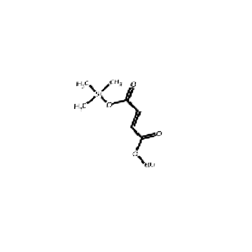 CC(C)(C)OC(=O)C=CC(=O)O[Si](C)(C)C